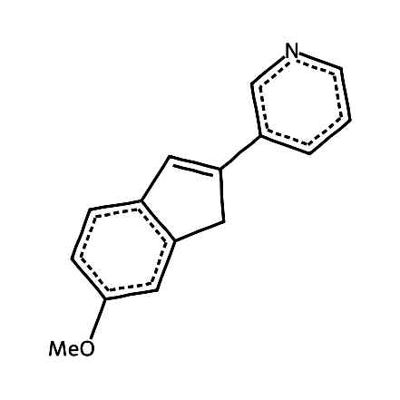 COc1ccc2c(c1)CC(c1cccnc1)=C2